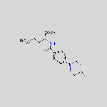 CCOC(=O)CC[C@H](NC(=O)c1ccc(N2CCC(=O)CC2)cc1)C(=O)OCC